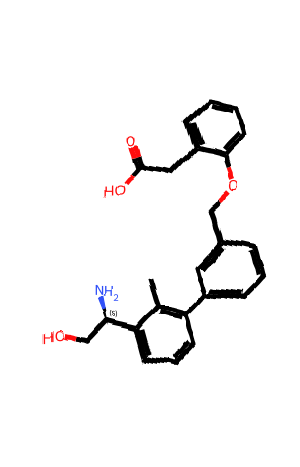 Cc1c(-c2cccc(COc3ccccc3CC(=O)O)c2)cccc1[C@H](N)CO